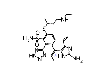 C=Cc1nc(N)[nH]c1/C(=C\C)c1ccc(SC(C)CCNCC)c(S(N)(=O)=O)c1-c1nn[nH]n1